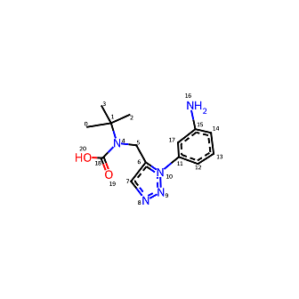 CC(C)(C)N(Cc1cnnn1-c1cccc(N)c1)C(=O)O